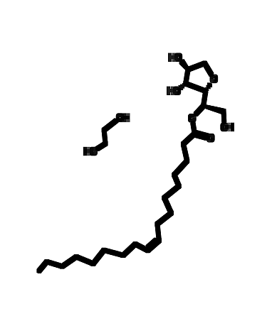 CCCCCCCC/C=C\CCCCCCCC(=O)O[C@H](CO)[C@H]1OC[C@H](O)[C@H]1O.OCCO